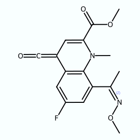 CO/N=C(/C)c1cc(F)cc2c1N(C)C(C(=O)OC)=CC2=C=O